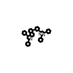 c1ccc(-c2cc(-c3cccc(-c4cccc5c4ccc4nc(-c6ccccc6)cc(-c6ccccc6)c45)c3)nc(-c3ccccc3)n2)cc1